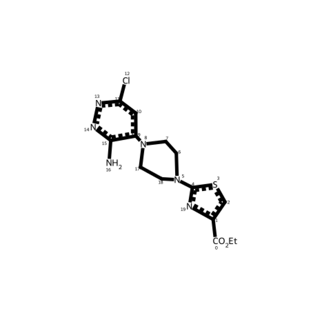 CCOC(=O)c1csc(N2CCN(c3cc(Cl)nnc3N)CC2)n1